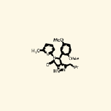 COc1ccc(OC)c(C2c3c(CC(C)C)n[nH]c3C(=O)N2c2cccc(C)n2)c1